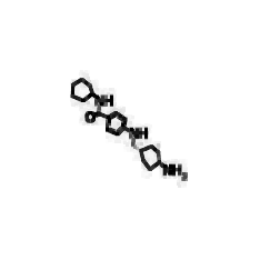 N[C@H]1CC[C@H](CNc2ccc(C(=O)NC3CCCCC3)cc2)CC1